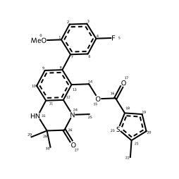 COc1ccc(F)cc1-c1ccc2c(c1COC(=O)c1ccc(C)s1)N(C)C(=O)C(C)(C)N2